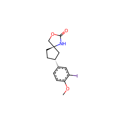 COc1ccc([C@@H]2CC[C@]3(COC(=O)N3)C2)cc1I